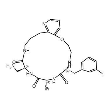 CC(C)[C@H]1NC(=O)[C@@H](Cc2cccc(I)c2)NCCOc2cccnc2CCCNC(=O)[C@H](CN)NC1=O